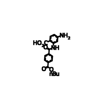 CCCCOC(=O)c1ccc(C(=O)Nc2cc(N)ccc2C(=O)O)cc1